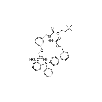 C[Si](C)(C)CCOC(=O)[C@H](Cc1cccc(OC[C@H](NC(c2ccccc2)(c2ccccc2)c2ccccc2)C(=O)O)c1)NC(=O)OCc1ccccc1